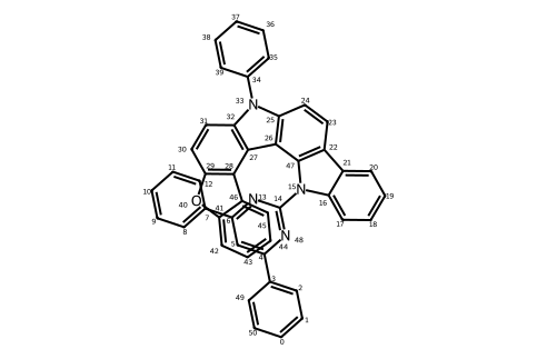 c1ccc(-c2cc(-c3ccccc3)nc(-n3c4ccccc4c4ccc5c(c6c7c(ccc6n5-c5ccccc5)oc5ccccc57)c43)n2)cc1